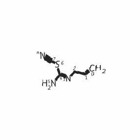 C=CCN=C(N)SC#N